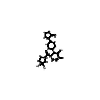 CN(C)C(=O)[C@@H](C1CCC(N2CCOC2=O)CC1)[C@H](N)C(=O)N1CCC(F)(F)C1